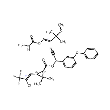 CC1(C)[C@H](C(=O)OC(C#N)c2cccc(Oc3ccccc3)c2)[C@@H]1/C=C(\Cl)C(F)(F)F.CNC(=O)O/N=C/C(C)(C)SC